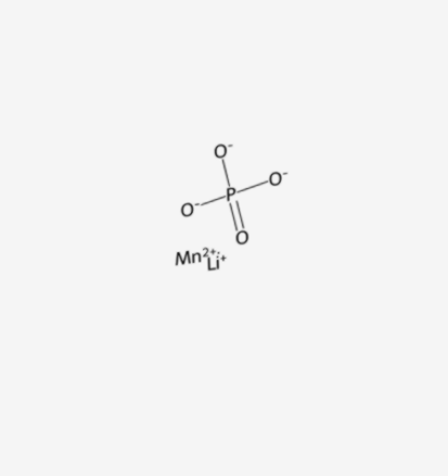 O=P([O-])([O-])[O-].[Li+].[Mn+2]